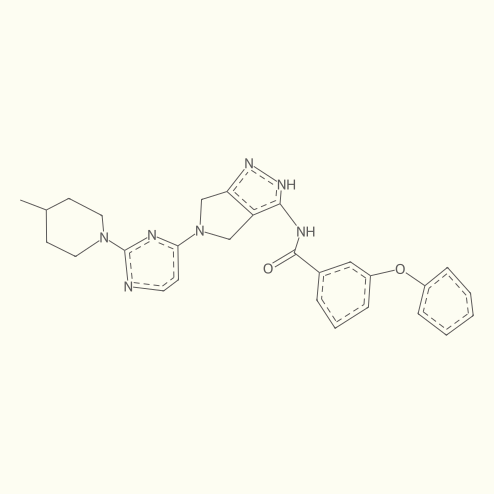 CC1CCN(c2nccc(N3Cc4n[nH]c(NC(=O)c5cccc(Oc6ccccc6)c5)c4C3)n2)CC1